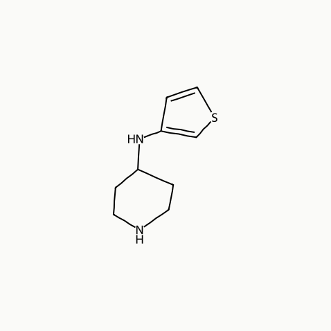 c1cc(NC2CCNCC2)cs1